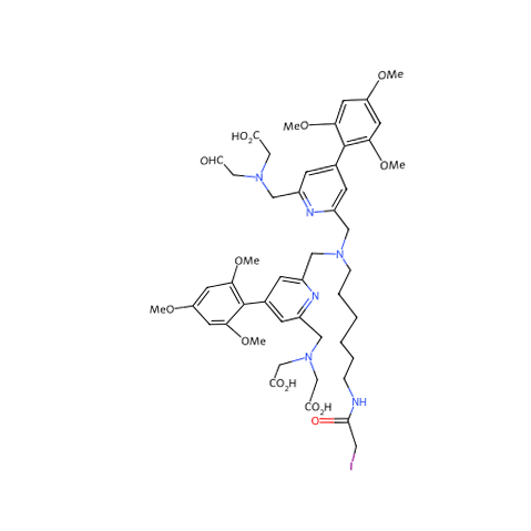 COc1cc(OC)c(-c2cc(CN(CC=O)CC(=O)O)nc(CN(CCCCCCNC(=O)CI)Cc3cc(-c4c(OC)cc(OC)cc4OC)cc(CN(CC(=O)O)CC(=O)O)n3)c2)c(OC)c1